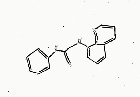 S=C(Nc1ccccc1)Nc1cccc2cccnc12